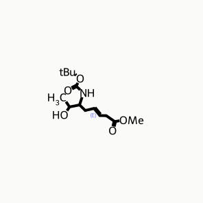 COC(=O)C/C=C/CC(NC(=O)OC(C)(C)C)C(C)O